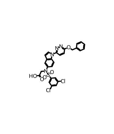 O=C(O)CN(c1ccc2c(ccn2-c2ccc(OCc3ccccc3)nn2)c1)S(=O)(=O)c1cc(Cl)cc(Cl)c1